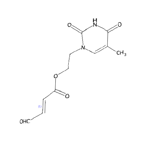 Cc1cn(CCOC(=O)/C=C/C=O)c(=O)[nH]c1=O